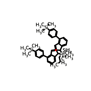 CC[CH2][Hf]([CH3])([CH3])([CH3])(=[SiH2])([CH]1C=Cc2c(-c3ccc([Si](C)(C)C)cc3)cccc21)[CH]1C=Cc2c(-c3ccc([Si](C)(C)C)cc3)cccc21